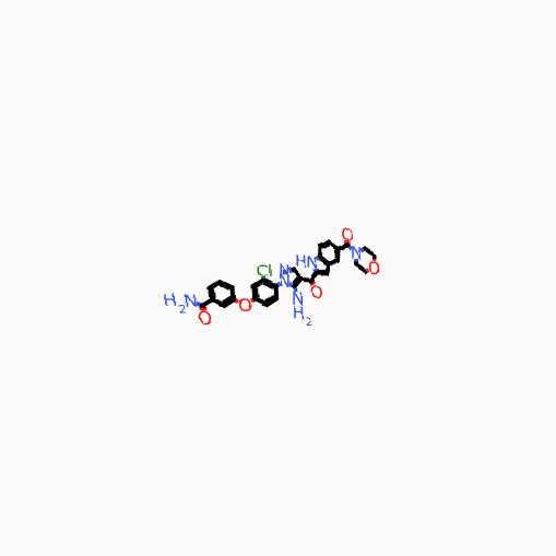 NC(=O)c1cccc(Oc2ccc(-n3ncc(C(=O)c4cc5cc(C(=O)N6CCOCC6)ccc5[nH]4)c3N)c(Cl)c2)c1